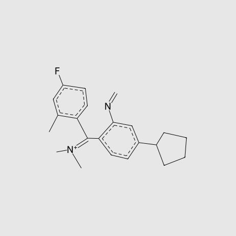 C=Nc1cc(C2CCCC2)ccc1C(c1ccc(F)cc1C)=[N+](C)C